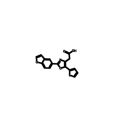 O=C(O)Cc1nc(-c2ccc3occc3c2)oc1-c1cccs1